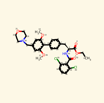 CCOC(=O)[C@H](Cc1ccc(-c2c(OC)cc(CN3CCOCC3)cc2OC)cc1)NC(=O)c1c(Cl)cccc1Cl